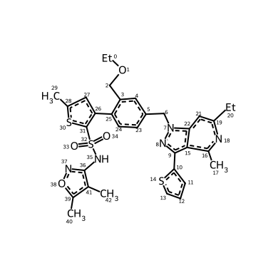 CCOCc1cc(Cn2nc(-c3cccs3)c3c(C)nc(CC)cc32)ccc1-c1cc(C)sc1S(=O)(=O)Nc1noc(C)c1C